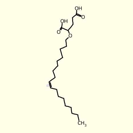 CCCCCCCC/C=C\CCCCCCCCOC(CCC(=O)O)C(=O)O